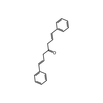 O=C(CC=Cc1ccccc1)CC=Cc1ccccc1